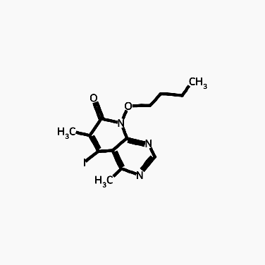 CCCCOn1c(=O)c(C)c(I)c2c(C)ncnc21